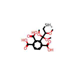 COC(C[SiH3])C(OC)(OC)c1c(C(=O)O)ccc(C(=O)O)c1C(=O)O